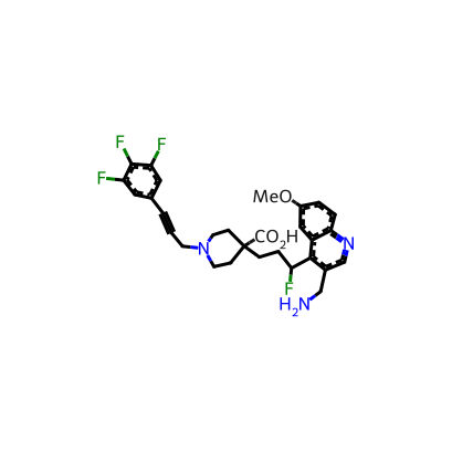 COc1ccc2ncc(CN)c(C(F)CCC3(C(=O)O)CCN(CC#Cc4cc(F)c(F)c(F)c4)CC3)c2c1